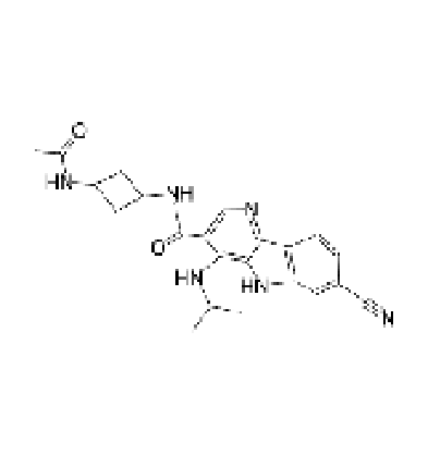 CC(=O)NC1CC(NC(=O)c2cnc3c([nH]c4cc(C#N)ccc43)c2NC(C)C)C1